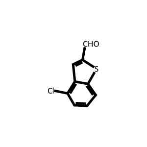 O=Cc1cc2c(Cl)cccc2s1